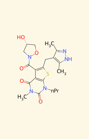 CCCn1c(=O)n(C)c(=O)c2c(C(=O)N3C[C@H](O)CO3)c(Cc3c(C)n[nH]c3C)sc21